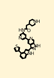 O=C(CC1CCNCC1)Nc1cncc(-c2cc3c(-c4cc5c(-c6ccsc6)cccc5[nH]4)n[nH]c3cn2)c1